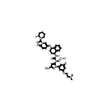 C[C@H]1CCCCN1c1nnc2ccc(O[C@@H]3CC[C@H](NC(=O)N(OC=O)c4cc(C(C)(C)C)nn4-c4cc(F)cc(OCCN(C)C)c4)c4ccccc43)cn12